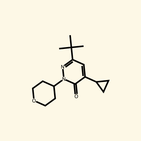 CC(C)(C)c1cc(C2CC2)c(=O)n(C2CCOCC2)n1